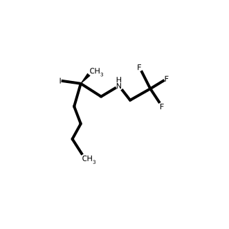 CCCC[C@](C)(I)CNCC(F)(F)F